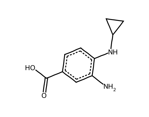 Nc1cc(C(=O)O)ccc1NC1CC1